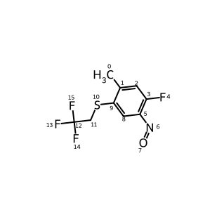 Cc1cc(F)c(N=O)cc1SCC(F)(F)F